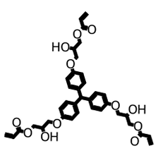 C=CC(=O)OCC(O)COc1ccc(C(c2ccc(OCC(O)COC(=O)C=C)cc2)c2ccc(OCC(O)COC(=O)C=C)cc2)cc1